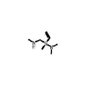 C=C[Si](C)(CNC)N(C)C